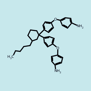 CCCCCC1CCCC(c2ccc(Oc3ccc(N)cc3)cc2)(c2ccc(Oc3ccc(N)cc3)cc2)C1